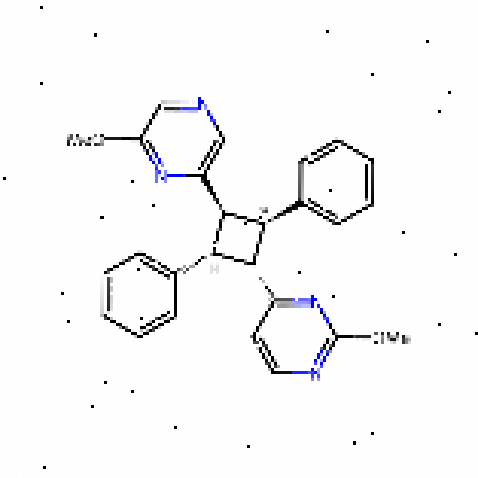 COc1cncc([C@H]2[C@@H](c3ccccc3)[C@H](c3ccnc(OC)n3)[C@@H]2c2ccccc2)n1